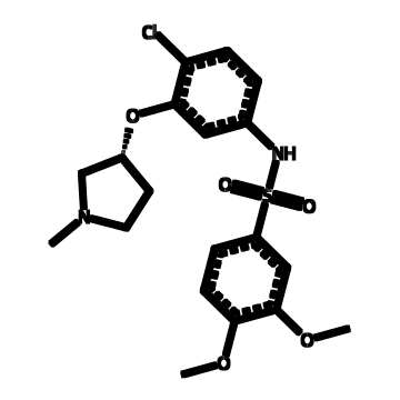 COc1ccc(S(=O)(=O)Nc2ccc(Cl)c(O[C@@H]3CCN(C)C3)c2)cc1OC